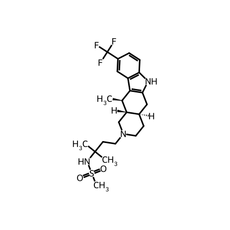 C[C@H]1c2c([nH]c3ccc(C(F)(F)F)cc23)C[C@H]2CCN(CCC(C)(C)NS(C)(=O)=O)C[C@@H]21